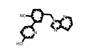 N#Cc1ccc(Cn2cnc3cccnc32)cc1-c1ccc(O)cn1